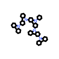 c1ccc(-n2c3ccc(-n4c5ccccc5c5cc(-n6c7ccccc7c7ccccc76)ccc54)cc3c3cc(-n4c5ccccc5c5cc(-n6c7ccccc7c7ccccc76)ccc54)ccc32)cc1